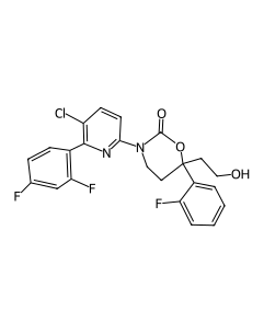 O=C1OC(CCO)(c2ccccc2F)CCN1c1ccc(Cl)c(-c2ccc(F)cc2F)n1